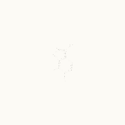 CCn1nnc2c(C)c(Br)ccc21